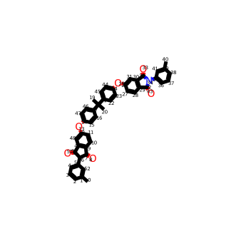 Cc1cccc(C2C(=O)c3ccc(Oc4ccc(C(C)(C)c5ccc(Oc6ccc7c(c6)C(=O)N(c6cccc(C)c6)C7=O)cc5)cc4)cc3C2=O)c1